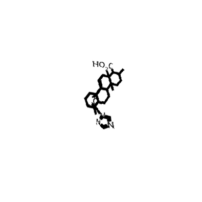 CC1CCC2(C)C3CCC4C5(CCCC4(C)C(n4cncn4)OC5)C3=CCC2(C)C1C(=O)O